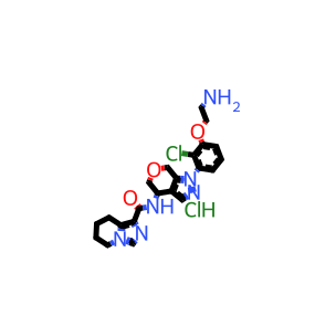 Cl.NCCOc1cccc(-n2ncc3c2COCC3NC(=O)c2ncn3c2CCCC3)c1Cl